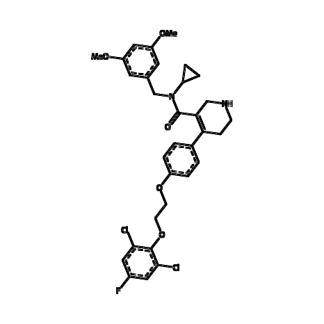 COc1cc(CN(C(=O)C2=C(c3ccc(OCCOc4c(Cl)cc(F)cc4Cl)cc3)CCNC2)C2CC2)cc(OC)c1